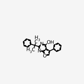 CC(C)(c1ccccc1)c1nc(O)c2c(-c3ccccc3)coc2n1